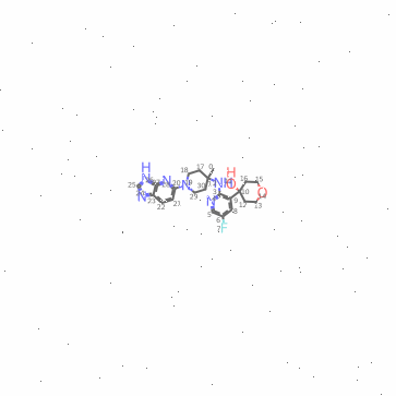 CC1(Nc2ncc(F)cc2C2(O)CCOCC2)CCN(c2ccc3nc[nH]c3n2)CC1